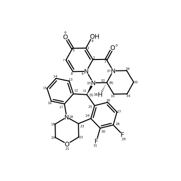 O=C1c2c(O)c(=O)ccn2N([C@@H]2c3ccccc3N3CCOCC3c3c2ccc(F)c3F)[C@@H]2CCCCN12